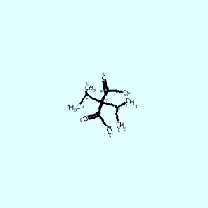 CC(C)C(C(=O)Cl)(C(=O)Cl)C(C)C